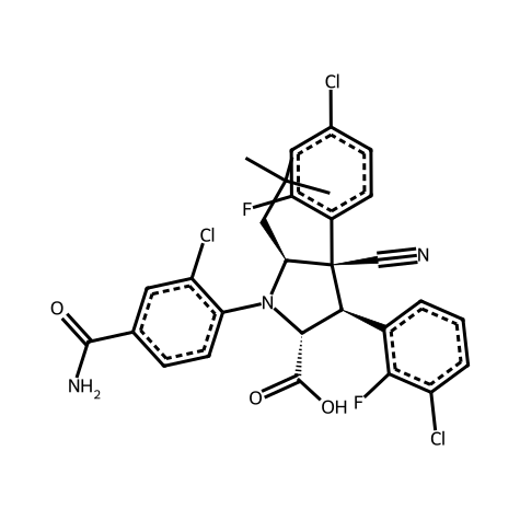 CC(C)(C)C[C@@H]1N(c2ccc(C(N)=O)cc2Cl)[C@@H](C(=O)O)[C@H](c2cccc(Cl)c2F)[C@@]1(C#N)c1ccc(Cl)cc1F